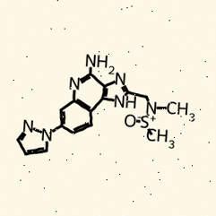 CN(Cc1nc2c(N)nc3cc(-n4cccn4)ccc3c2[nH]1)[S+](C)[O-]